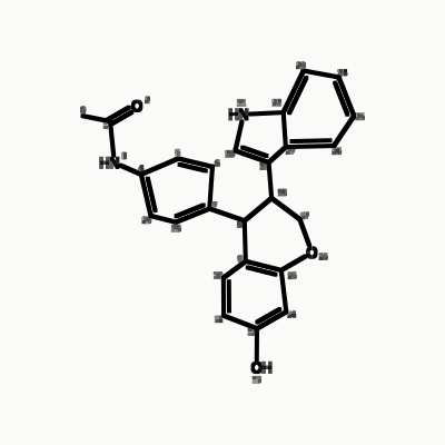 CC(=O)Nc1ccc(C2c3ccc(O)cc3OCC2c2c[nH]c3ccccc23)cc1